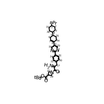 CCCC1CCC(C2CC=C(c3cnc(-c4ccc(C[C@H](N)C(=O)N5CC(C(=O)OC(C)(C)C)C5)cc4)nc3)CC2)CC1